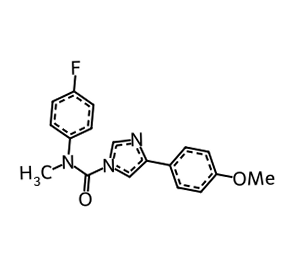 COc1ccc(-c2cn(C(=O)N(C)c3ccc(F)cc3)cn2)cc1